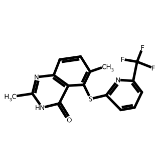 Cc1nc2ccc(C)c(Sc3cccc(C(F)(F)F)n3)c2c(=O)[nH]1